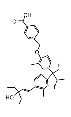 CCC(O)(C=Cc1ccc(C(CC)(c2ccc(OCc3ccc(C(=O)O)cc3)c(C)c2)C(C)I)cc1C)CC